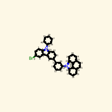 Brc1ccc2c(c1)c1cc(-c3cccc(-n4c5cccc6ccc7cccc4c7c65)c3)ccc1n2-c1ccccc1